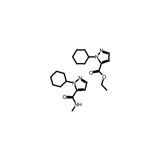 CCOC(=O)c1ccnn1C1CCCCC1.CNC(=O)c1ccnn1C1CCCCC1